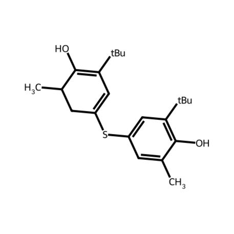 Cc1cc(SC2=CC(C(C)(C)C)=C(O)C(C)C2)cc(C(C)(C)C)c1O